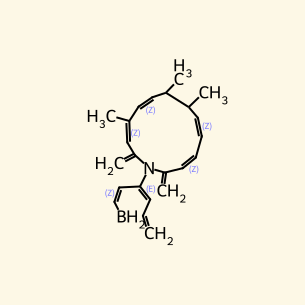 B/C=C\C(=C/C=C)N1C(=C)/C=C\C=C/C(C)C(C)/C=C\C(C)=C/C1=C